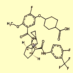 COc1cc(F)c(OC2CCC(C(=O)O)CC2)cc1C(=O)N[C@H]1[C@@H](C(=O)Nc2ccc(F)c(C(F)(F)F)c2)[C@H]2CC[C@@H]1/C2=C\C1CC1